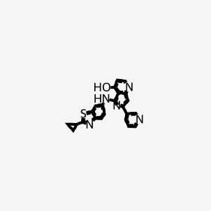 Oc1ccnc2cc(-c3cccnc3)nc(Nc3ccc4nc(C5CC5)sc4c3)c12